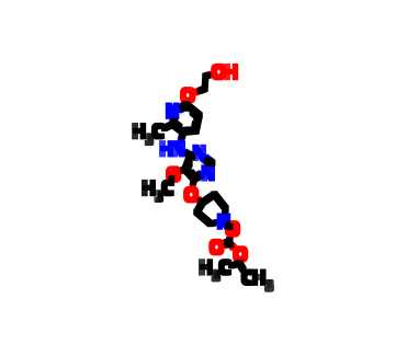 COc1c(Nc2ccc(OCCO)nc2C)ncnc1OC1CCN(OC(=O)OC(C)C)CC1